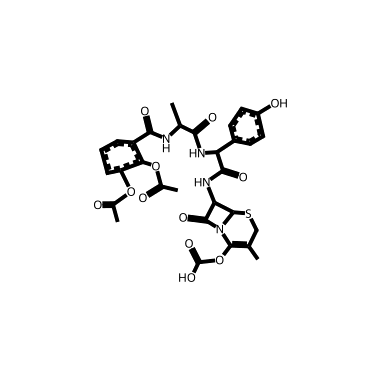 CC(=O)Oc1cccc(C(=O)NC(C)C(=O)NC(C(=O)NC2C(=O)N3C(OC(=O)O)=C(C)CSC23)c2ccc(O)cc2)c1OC(C)=O